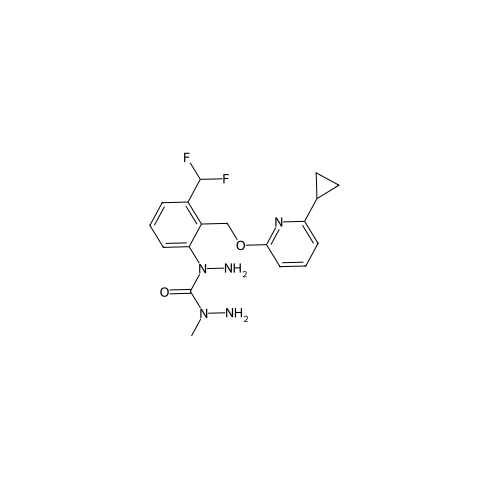 CN(N)C(=O)N(N)c1cccc(C(F)F)c1COc1cccc(C2CC2)n1